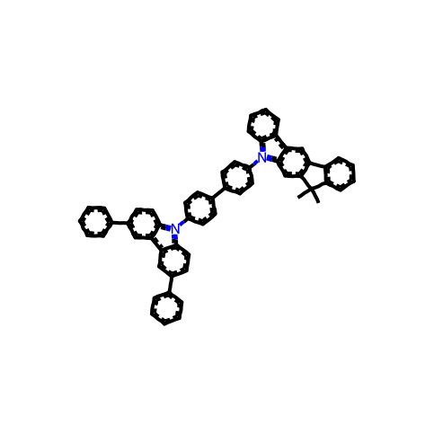 CC1(C)c2ccccc2-c2cc3c4ccccc4n(-c4ccc(-c5ccc(-n6c7ccc(-c8ccccc8)cc7c7cc(-c8ccccc8)ccc76)cc5)cc4)c3cc21